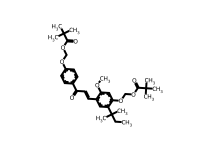 CCC(C)(C)c1cc(C=CC(=O)c2ccc(OCOC(=O)C(C)(C)C)cc2)c(OC)cc1OCOC(=O)C(C)(C)C